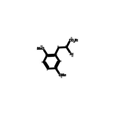 CCOC(=O)C(Cc1cc(OC)ccc1OC)C(C)=O